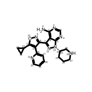 Nc1ncnc2c1c(-c1noc(C3CC3)c1-c1ccccn1)nn2[C@H]1CCCNC1